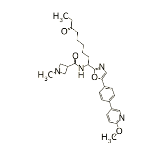 CCC(=O)CCCCCC(NC(=O)C1CN(C)C1)c1ncc(-c2ccc(-c3ccc(OC)nc3)cc2)o1